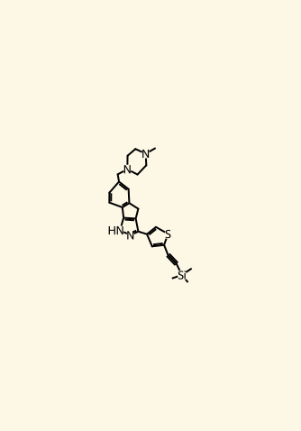 CN1CCN(Cc2ccc3c(c2)Cc2c(-c4csc(C#C[Si](C)(C)C)c4)n[nH]c2-3)CC1